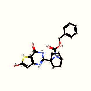 O=C(OCc1ccccc1)N1C2CCC1(c1nc3cc(Br)sc3c(=O)[nH]1)CC2